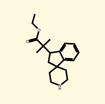 CCOC(=O)C(C)(C)C1CC2(CCNCC2)c2ccccc21